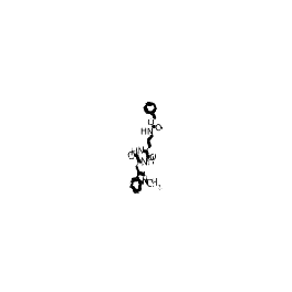 Cn1cc(C[C@H]2NC(=O)[C@H](CCCNC(=O)OCc3ccccc3)NC2=O)c2ccccc21